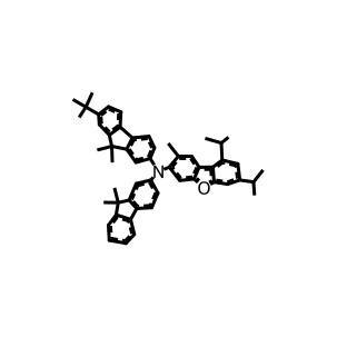 Cc1cc2c(cc1N(c1ccc3c(c1)C(C)(C)c1ccccc1-3)c1ccc3c(c1)C(C)(C)c1cc(C(C)(C)C)ccc1-3)oc1cc(C(C)C)cc(C(C)C)c12